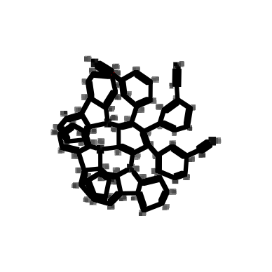 N#Cc1cccc(-c2c(-c3cccc(C#N)c3)c(-n3c4ccccc4c4ccccc43)c(-n3c4ccccc4c4ccccc43)c(-n3c4ccccc4c4ccccc43)c2-c2cccc(C#N)c2)c1